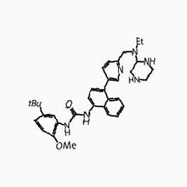 CCN(Cc1ccc(-c2ccc(NC(=O)Nc3cc(C(C)(C)C)ccc3OC)c3ccccc23)cn1)C1CNCCN1